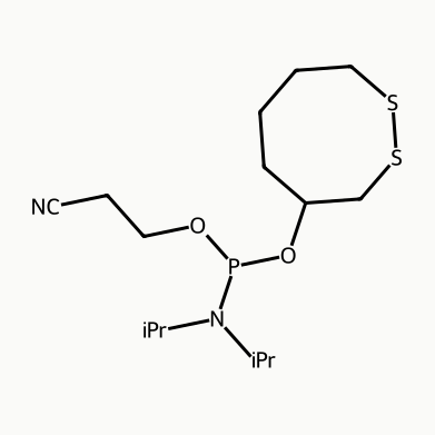 CC(C)N(C(C)C)P(OCCC#N)OC1CCCCSSC1